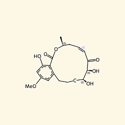 COc1cc(O)c2c(c1)CCC[C@H](O)[C@H](O)C(=O)/C=C\C[C@H](C)OC2=O